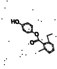 CCc1cccc(C)c1C(=O)Oc1ccc(O)cc1